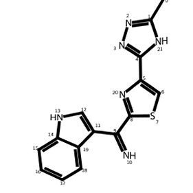 Cc1nnc(-c2csc(C(=N)c3c[nH]c4ccccc34)n2)[nH]1